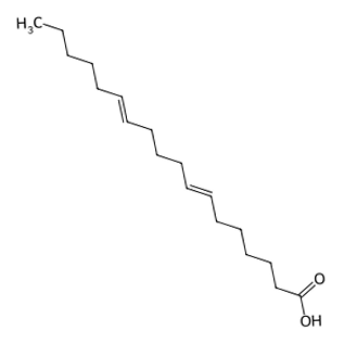 CCCCCC=CCCCC=CCCCCCC(=O)O